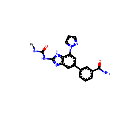 CCNC(=O)Nc1nc2cc(-c3cccc(C(N)=O)c3)cc(-n3cccn3)c2[nH]1